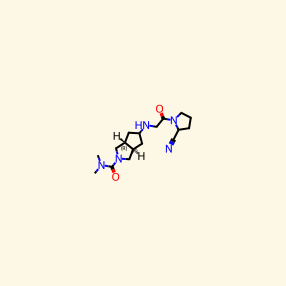 CN(C)C(=O)N1C[C@@H]2CC(NCC(=O)N3CCCC3C#N)C[C@H]2C1